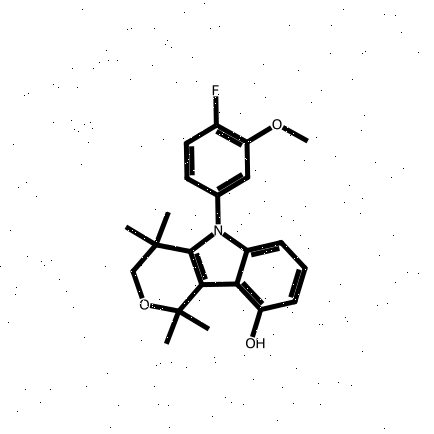 COc1cc(-n2c3c(c4c(O)cccc42)C(C)(C)OCC3(C)C)ccc1F